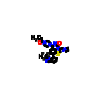 C=CC(=O)N1CCN(c2nc(=O)n3c4c(c(-c5cccc6cnn(C)c56)c(C(F)(F)F)cc24)SCC3CN2CCC2)CC1